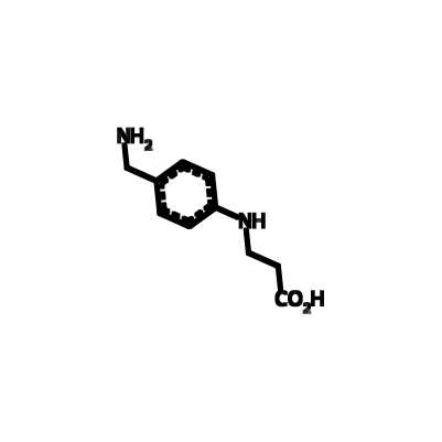 NCc1ccc(NCCC(=O)O)cc1